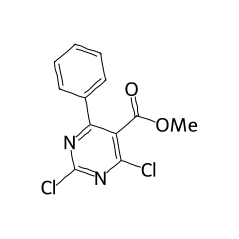 COC(=O)c1c(Cl)nc(Cl)nc1-c1ccccc1